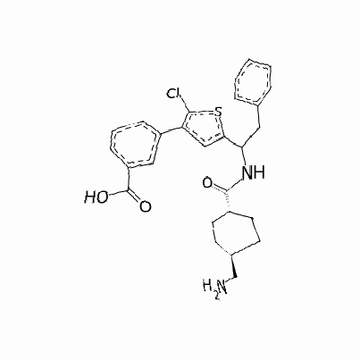 NC[C@H]1CC[C@H](C(=O)NC(Cc2ccccc2)c2cc(-c3cccc(C(=O)O)c3)c(Cl)s2)CC1